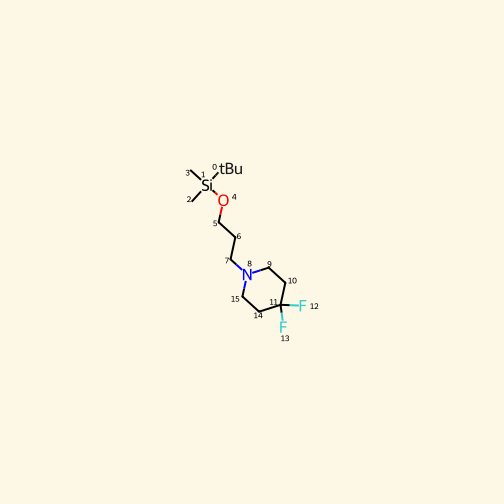 CC(C)(C)[Si](C)(C)OCCCN1CCC(F)(F)CC1